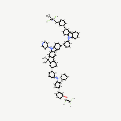 CCCC1(CCC)c2cc(-c3cccc(N4c5ccc(-c6cccc(OC(F)=C(F)F)c6)cc5C5=CC=CCC54)c3)ccc2-c2cc3c4cc(-c5cccc(-n6c7ccccc7c7cc(-c8cccc(C/C(F)=C(/C)F)c8)ccc76)c5)ccc4n(-c4ccncc4)c3cc21